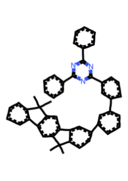 CC1(C)c2ccccc2-c2cc3c(cc21)-c1cc(-c2cccc(-c4cccc(-c5nc(-c6ccccc6)nc(-c6ccccc6)n5)c4)c2)ccc1C3(C)C